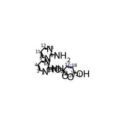 Nc1ncccn1.Nc1ncccn1.O=C(O)/C=C\C(=O)O